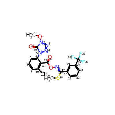 COn1nnn(-c2cccc(C)c2C(=O)ON=C(SC)c2cccc(C(F)(F)F)c2)c1=O